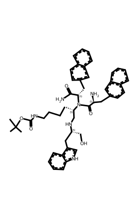 CC(C)(C)OC(=O)NCCCC[C@@H](CN[C@H](CO)Cc1c[nH]c2ccccc12)N(C(=O)[C@@H](N)Cc1ccc2ccccc2c1)[C@@H](Cc1ccc2ccccc2c1)C(N)=O